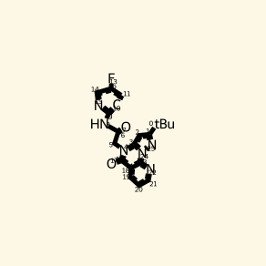 CC(C)(C)c1cc2n(CC(=O)Nc3ccc(F)cn3)c(=O)c3cccnc3n2n1